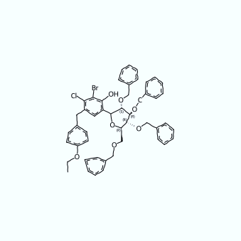 CCOc1ccc(Cc2cc(C3O[C@H](COCc4ccccc4)[C@@H](OCc4ccccc4)[C@H](OCc4ccccc4)[C@H]3OCc3ccccc3)c(O)c(Br)c2Cl)cc1